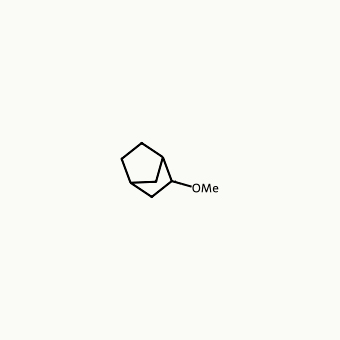 CO[C]1CC2CCC1C2